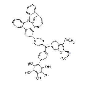 C=Cc1c(/C=C\C)oc2cc(N(c3ccc(-c4ccc(-c5ccccc5N5C6=CC(C=CC=C6)c6ccccc65)cc4)cc3)c3ccc(-c4c(O)c(O)c(O)c(O)c4O)cc3)ccc12